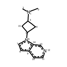 CN(C)C1CC(n2ccc3ccncc32)C1